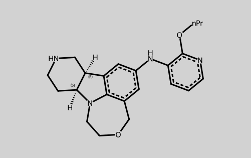 CCCOc1ncccc1Nc1cc2c3c(c1)[C@@H]1CNCC[C@@H]1N3CCOC2